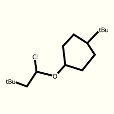 CC(C)(C)CC(Cl)OC1CCC(C(C)(C)C)CC1